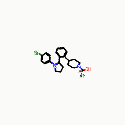 C[C](C)[C@@H](O)N1CCC(c2ccccc2C2CCCN2c2ccc(Br)cc2)CC1